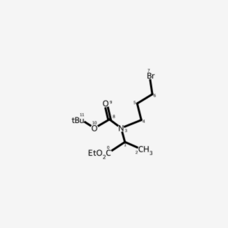 CCOC(=O)C(C)N(CCCBr)C(=O)OC(C)(C)C